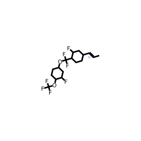 C/C=C/C1CCC(C(F)(F)OC2CCC(OC(F)(F)F)C(F)C2)C(F)C1